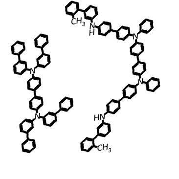 Cc1ccccc1-c1cccc(Nc2ccc(-c3ccc(N(c4ccccc4)c4ccc(-c5ccc(N(c6ccccc6)c6ccc(-c7ccc(Nc8cccc(-c9ccccc9C)c8)cc7)cc6)cc5)cc4)cc3)cc2)c1.c1ccc(-c2cccc(N(c3ccc(-c4ccc(N(c5cccc(-c6ccccc6)c5)c5cccc(-c6ccccc6)c5)cc4)cc3)c3cccc(-c4ccccc4)c3)c2)cc1